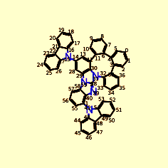 c1ccc2c(c1)c1ccccc1c1cc(-n3c4ccccc4c4ccccc43)cc3c1n(c1ccccc21)c1nc2c(-n4c5ccccc5c5ccccc54)cccc2n31